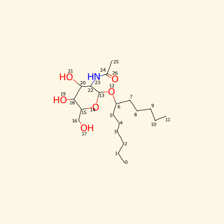 CCCCCCC(CCCCC)OC1OC(CO)C(O)C(O)C1NC(C)=O